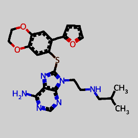 CC(C)CNCCn1c(Sc2cc3c(cc2-c2ccco2)OCCO3)nc2c(N)ncnc21